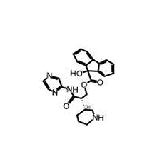 O=C(Nc1cnccn1)C(COC(=O)C1(O)c2ccccc2-c2ccccc21)[C@H]1CCCNC1